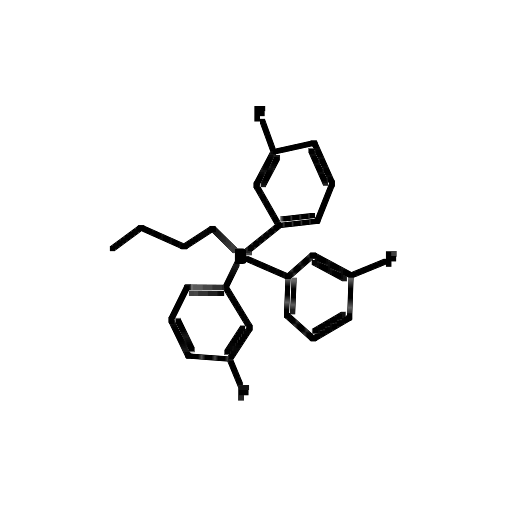 CCCC[B-](c1cccc(F)c1)(c1cccc(F)c1)c1cccc(F)c1